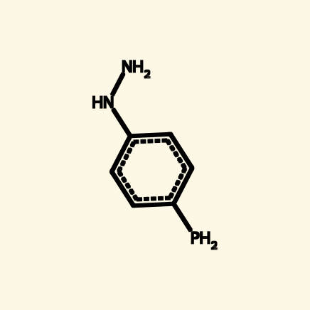 NNc1ccc(P)cc1